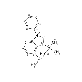 COc1cccc2c1P(C(C)(C)C)CN2c1ccccc1